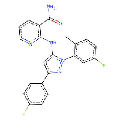 Cc1ccc(F)cc1-n1nc(-c2ccc(F)cc2)cc1Nc1ncccc1C(N)=O